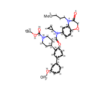 COCCCN1C(=O)COc2ccc(N(C(=O)[C@H]3CN(C(=O)OC(C)(C)C)CC[C@@H]3c3cccc(-c4cccc(OC=O)c4)c3)C3CC3)cc21